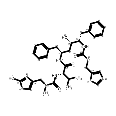 CC(C)[C@H](NC(=O)N(C)Cc1csc(O)n1)C(=O)N[C@@H](Cc1ccccc1)C[C@H](O)[C@H](Cc1ccccc1)NC(=O)OCc1cncs1